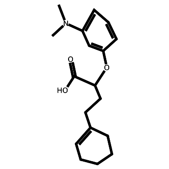 CN(C)c1cccc(OC(CCC2=CCCCC2)C(=O)O)c1